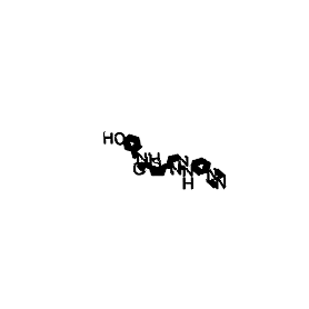 CN1CCN(c2cccc(Nc3nccc(-c4ccc(C(=O)NCc5cccc(O)c5)s4)n3)c2)CC1